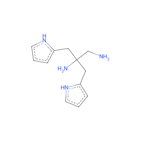 NCC(N)(Cc1ccc[nH]1)Cc1ccc[nH]1